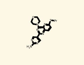 CC(C)Sc1ccc2nc(-c3cnc(N)nc3)nc(N3CCOCC3)c2n1